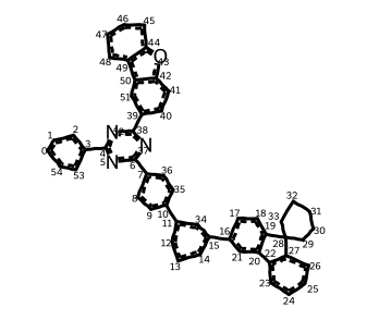 c1ccc(-c2nc(-c3ccc(-c4cccc(-c5ccc6c(c5)-c5ccccc5C65CCCCC5)c4)cc3)nc(-c3ccc4oc5ccccc5c4c3)n2)cc1